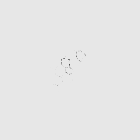 CCc1nc2c(-c3c(C)cc(C)cc3C)nccn2c1N(CC(C)C)CC(C)C